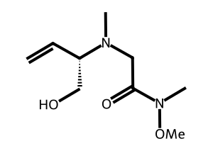 C=C[C@@H](CO)N(C)CC(=O)N(C)OC